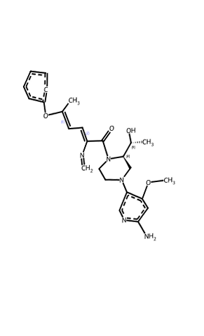 C=N/C(=C\C=C(/C)Oc1ccccc1)C(=O)N1CCN(c2cnc(N)cc2OC)C[C@@H]1[C@@H](C)O